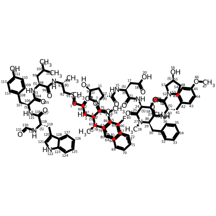 COCC[C@@H](C(=O)N1C[C@@H](O)C[C@@H]1C(=O)N[C@@H](CC(=O)O)C(=O)N[C@H](C(=O)N(C)[C@H](Cc1ccccc1)C(=O)N[C@@H](Cc1ccc(OC)cc1)C(=O)N1CC[C@H](O)C1)C(C)C)N(C)C(=O)C(Cc1ccccc1)N(C)C(=O)[C@H](Cc1ccc(F)c(F)c1)NC(=O)CSC[C@@H](C)NC(=O)[C@H](CC(C)C)NC(=O)[C@H](Cc1ccc(O)cc1)NC(=O)[C@H](Cc1c[nH]c2ccccc12)NC=O